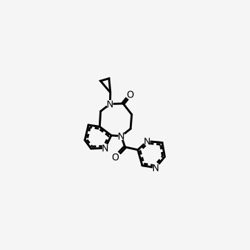 O=C(c1cnccn1)N1CCC(=O)N(C2CC2)Cc2cccnc21